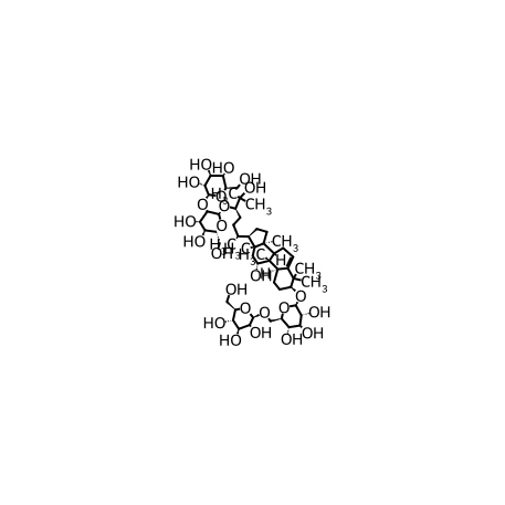 C[C@H](CC[C@@H](O[C@@H]1O[C@H](CO)[C@@H](O)[C@H](O)[C@H]1O[C@@H]1O[C@H](CO)[C@@H](O)[C@H](O)[C@H]1O)C(C)(C)O)[C@H]1CC[C@@]2(C)[C@@H]3CC=C4[C@@H](CC[C@H](O[C@@H]5O[C@H](CO[C@@H]6O[C@H](CO)[C@@H](O)[C@H](O)[C@H]6O)[C@@H](O)[C@H](O)[C@H]5O)C4(C)C)[C@]3(C)[C@H](O)C[C@]12C